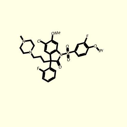 COc1cc2c(cc1Cl)C(CCCN1CCN(C)CC1)(c1ccccc1F)C(=O)N2S(=O)(=O)c1ccc(OC(C)C)c(F)c1